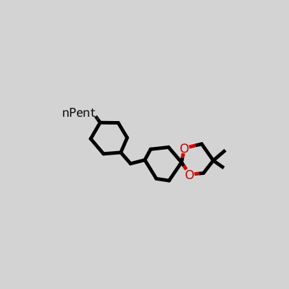 CCCCCC1CCC(CC2CCC3(CC2)OCC(C)(C)CO3)CC1